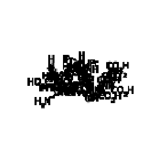 CC(C)C[C@H](NC(=O)[C@H](CCCCN)NC(=O)[C@@H](NC(=O)CNC(=O)[C@H](CCCCN)NC(=O)[C@H](CC(C)C)NC(=O)[C@@H](NC(=O)[C@@H]1CCCN1C(=O)[C@H](CCC(=O)O)NC(=O)[C@H](CO)NC(=O)[C@H](CC(=O)O)NC(=O)[C@H](CC(=O)O)NC(=O)[C@H](CCC(=O)O)NC(=O)[C@@H](N)CC(=O)O)C(C)C)C(C)C)C(=O)N[C@@H](Cc1c[nH]cn1)C(=O)O